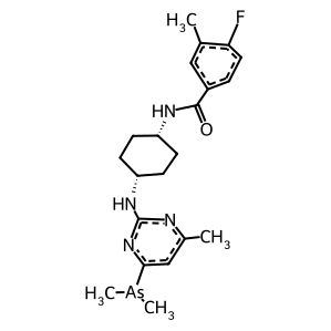 Cc1cc([As](C)C)nc(N[C@H]2CC[C@@H](NC(=O)c3ccc(F)c(C)c3)CC2)n1